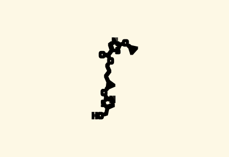 O=C(OCCCC1CC1Oc1ncc(CO)s1)c1cnc(OC2CC2)s1